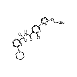 CC(C)(C)COc1ccn(-c2ccc(C(=O)NS(=O)(=O)c3cccc(N4CCCCC4)n3)c(Cl)n2)n1